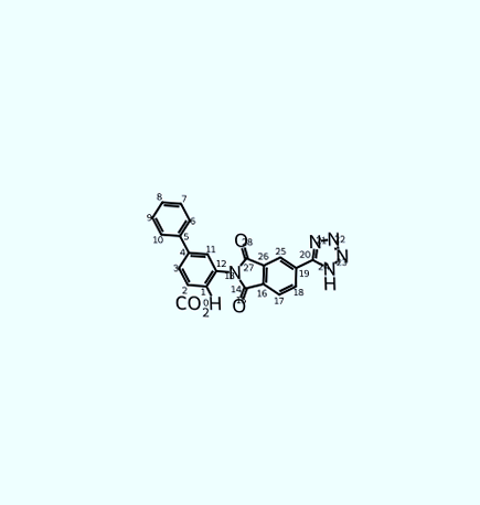 O=C(O)c1ccc(-c2ccccc2)cc1N1C(=O)c2ccc(-c3nnn[nH]3)cc2C1=O